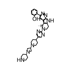 C[C@@H]1c2c([nH]c3nnc(-c4ccccc4O)cc23)CCN1c1ncc(C2CCN(C3CN(C4CCNCC4)C3)CC2)cn1